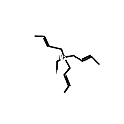 CC=CC[PH](CI)(CC=CC)CC=CC